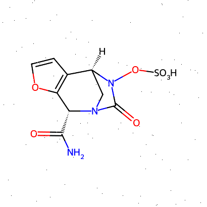 NC(=O)[C@@H]1c2occc2[C@@H]2CN1C(=O)N2OS(=O)(=O)O